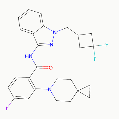 O=C(Nc1nn(CC2CC(F)(F)C2)c2ccccc12)c1ccc(I)cc1N1CCC2(CC1)CC2